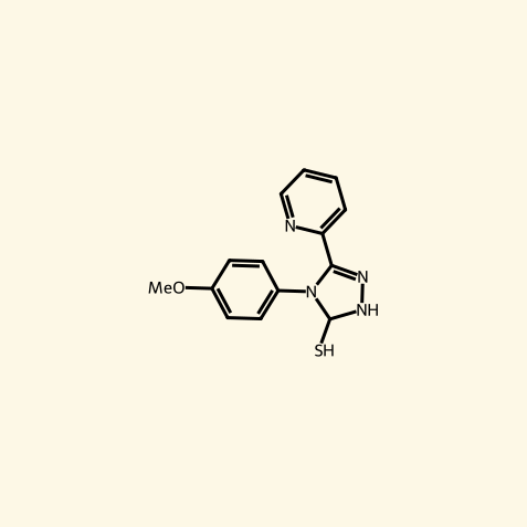 COc1ccc(N2C(c3ccccn3)=NNC2S)cc1